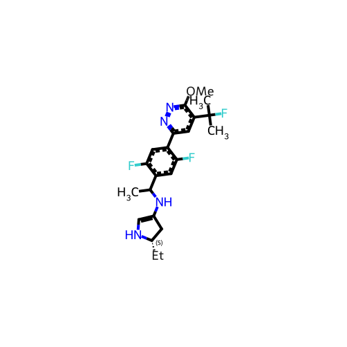 CC[C@H]1CC(NC(C)c2cc(F)c(-c3cc(C(C)(C)F)c(OC)nn3)cc2F)=CN1